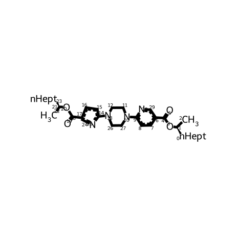 CCCCCCC[C@H](C)OC(=O)c1ccc(N2CCN(c3ccc(C(=O)O[C@@H](C)CCCCCCC)cn3)CC2)nc1